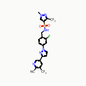 Cn1cc(S(=O)(=O)NCc2ccc(-n3ccc(-c4cnc(C#N)c(C(F)(F)F)c4)n3)cc2F)c(C(F)(F)F)n1